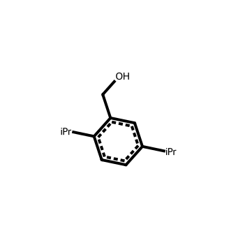 CC(C)c1ccc(C(C)C)c(CO)c1